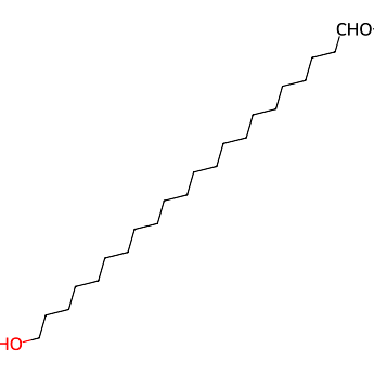 O=[C]CCCCCCCCCCCCCCCCCCCCCO